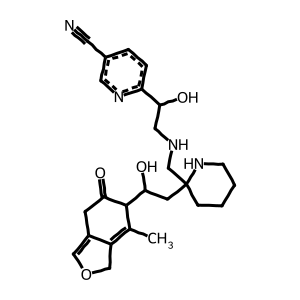 CC1=C2COC=C2CC(=O)C1C(O)CC1(CNCC(O)c2ccc(C#N)cn2)CCCCN1